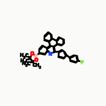 CC1(C)OB(c2ccc3c(c2)nc(-c2ccc(-c4ccc(F)cc4)cc2)c2c4ccccc4c4ccccc4c32)OC1(C)C